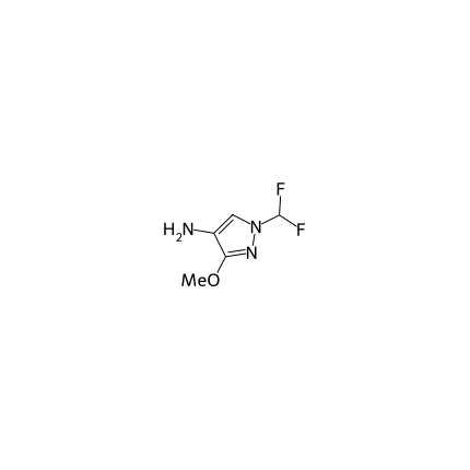 COc1nn(C(F)F)cc1N